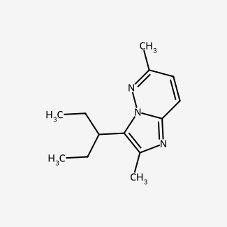 CCC(CC)c1c(C)nc2ccc(C)nn12